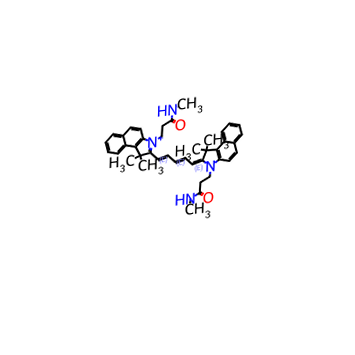 CNC(=O)CCN1/C(=C/C=C/C=C/C2=[N+](CCC(=O)NC)c3ccc4ccccc4c3C2(C)C)C(C)(C)c2c1ccc1ccccc21